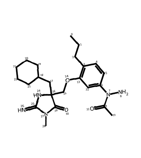 CCCc1ccc(N(N)C(C)=O)cc1OCC1(CC2CCCCC2)NC(=N)N(C)C1=O